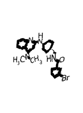 CN(C)c1cc(N[C@H]2CC[C@@H](CNC(=O)c3cccc(Br)c3)CC2)nc2ccccc12